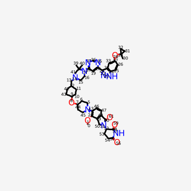 COc1c(N2CCC(OC3CCC(CN4CCN(c5cc(-c6n[nH]c7ccc(OC8(C)CC8)cc67)ncn5)C(C)(C)C4)CC3)CC2)ccc2c1CN(C1CCC(=O)NC1=O)C2=O